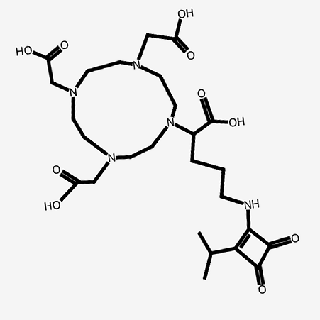 CC(C)c1c(NCCCC(C(=O)O)N2CCN(CC(=O)O)CCN(CC(=O)O)CCN(CC(=O)O)CC2)c(=O)c1=O